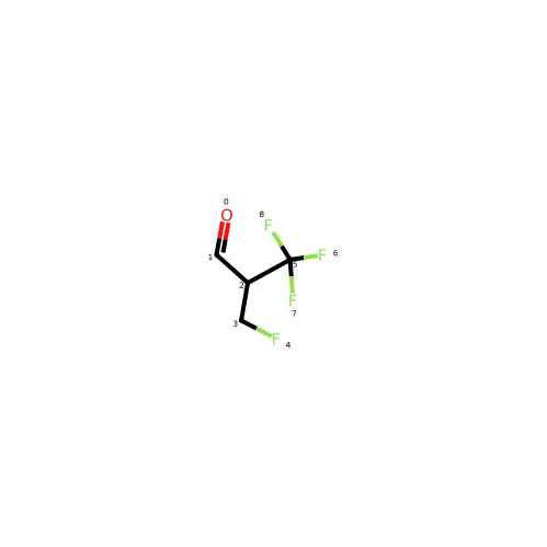 O=CC(CF)C(F)(F)F